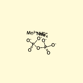 O=P([O-])([O-])OP(=O)([O-])[O-].[Mn+2].[NH4+].[NH4+]